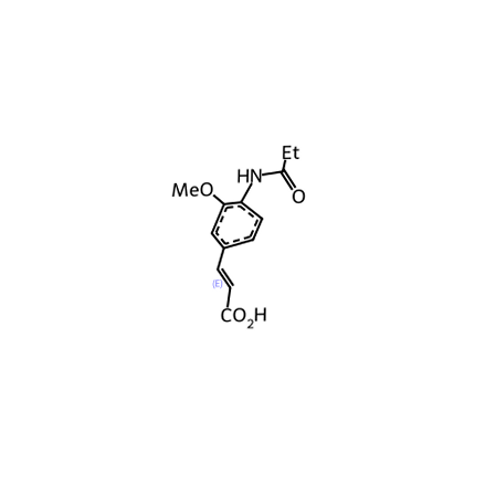 CCC(=O)Nc1ccc(/C=C/C(=O)O)cc1OC